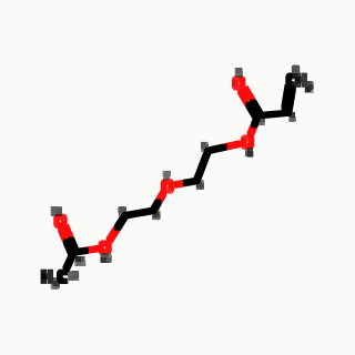 C=CC(=O)OCCOCCOC(C)=O